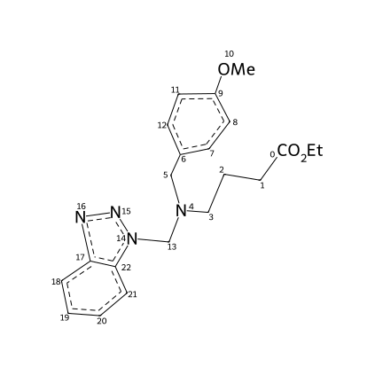 CCOC(=O)CCCN(Cc1ccc(OC)cc1)Cn1nnc2ccccc21